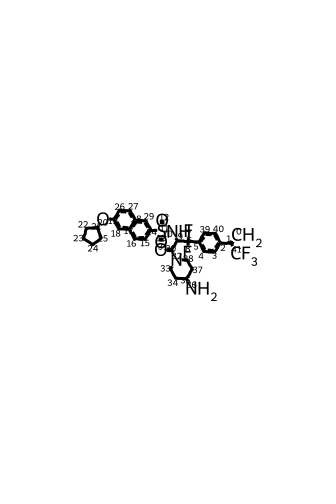 C=C(c1ccc(C(F)(F)C(NS(=O)(=O)c2ccc3cc(OC4CCCC4)ccc3c2)C(=O)N2CCC(N)CC2)cc1)C(F)(F)F